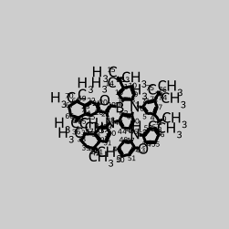 CC(C)(C)c1cc(N2c3ccc(C(C)(C)C)cc3B3c4oc5cc6c(cc5c4N(c4ccc5c(c4)C(C)(C)CCC5(C)C)c4cc(N5c7ccccc7Oc7ccccc75)cc2c43)C(C)(C)CCC6(C)C)cc(C(C)(C)C)c1